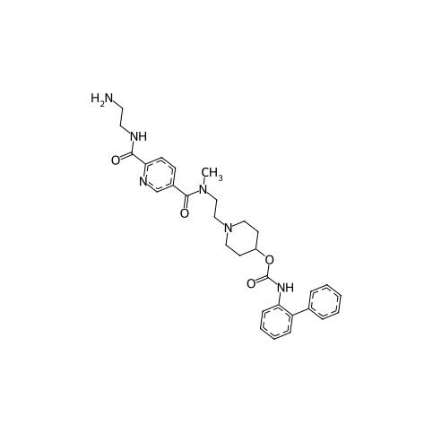 CN(CCN1CCC(OC(=O)Nc2ccccc2-c2ccccc2)CC1)C(=O)c1ccc(C(=O)NCCN)nc1